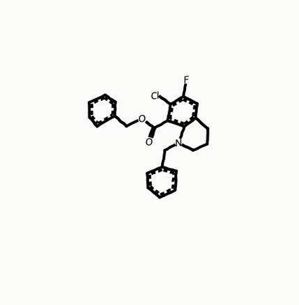 O=C(OCc1ccccc1)c1c(Cl)c(F)cc2c1N(Cc1ccccc1)CCC2